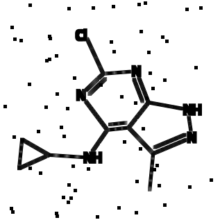 Cc1n[nH]c2nc(Cl)nc(NC3CC3)c12